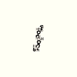 O=C(Nc1ccc(-c2ccnc(Nc3ccc(N4CCN(C(=O)[C@@H]5CCCN5)CC4)cc3)n2)cc1)C1CCCO1